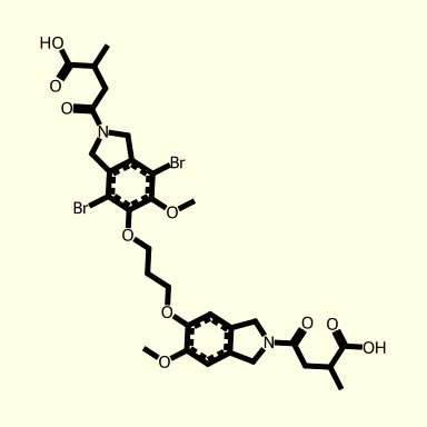 COc1cc2c(cc1OCCCOc1c(Br)c3c(c(Br)c1OC)CN(C(=O)CC(C)C(=O)O)C3)CN(C(=O)CC(C)C(=O)O)C2